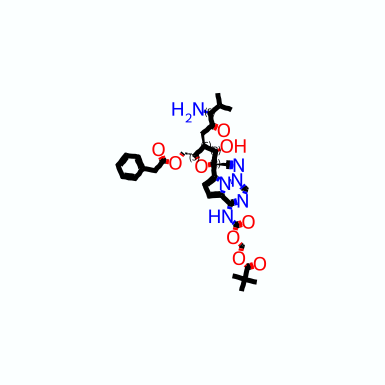 CC(C)[C@H](N)C(=O)C[C@H]1[C@@H](O)[C@](C#N)(c2ccc3c(NC(=O)OCOC(=O)C(C)(C)C)ncnn23)O[C@@H]1COC(=O)Cc1ccccc1